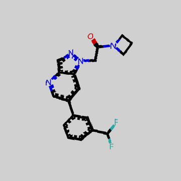 O=C(Cn1ncc2ncc(-c3cccc(C(F)F)c3)cc21)N1CCC1